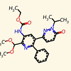 CCOC(=O)Nc1cc(-c2ccc(=O)n(C(C)C)n2)c(-c2ccccc2)nc1C(OC)OC